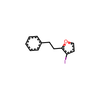 Ic1ccoc1CCc1ccccc1